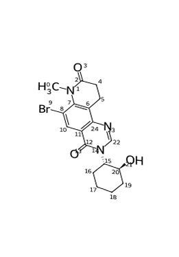 CN1C(=O)CCc2c1c(Br)cc1c(=O)n([C@H]3CCCC[C@@H]3O)cnc21